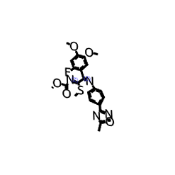 COC(=O)/N=C(SC)/C(=N\c1ccc(-c2noc(C)n2)cc1)c1cc(OC)c(OC)cc1F